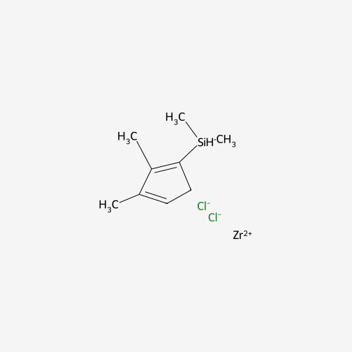 CC1=CCC([SiH](C)C)=C1C.[Cl-].[Cl-].[Zr+2]